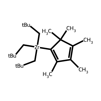 CC1=C(C)C(C)(C)[C]([Zr]([CH2]C(C)(C)C)([CH2]C(C)(C)C)[CH2]C(C)(C)C)=C1C